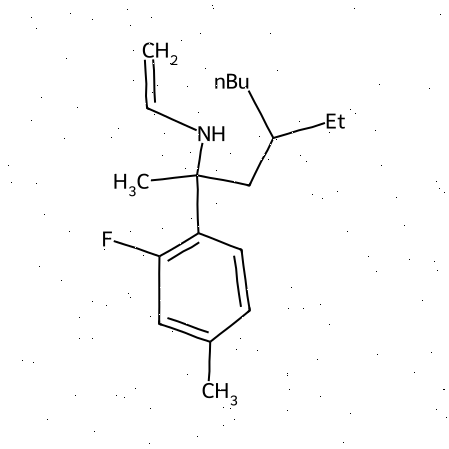 C=CNC(C)(CC(CC)CCCC)c1ccc(C)cc1F